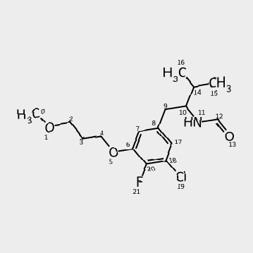 COCCCOc1cc(CC(NC=O)C(C)C)cc(Cl)c1F